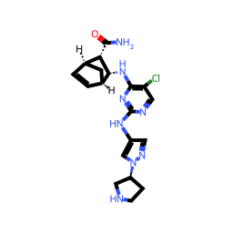 NC(=O)[C@@H]1[C@H](Nc2nc(Nc3cnn([C@H]4CCNC4)c3)ncc2Cl)[C@H]2C=C[C@@H]1C2